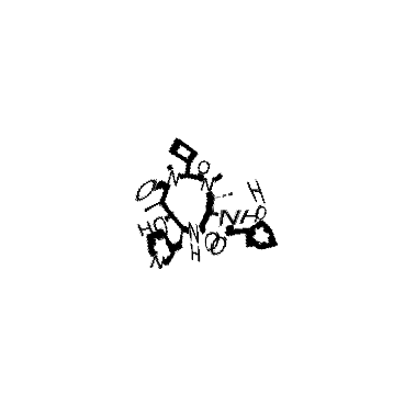 C[C@@H]1[C@H](NC(=O)c2ccccc2O)C(=O)N[C@@H](Cc2cccnc2)[C@@H](O)[C@@H](C)C(=O)N(C)C(C2CCC2)C(=O)N1C